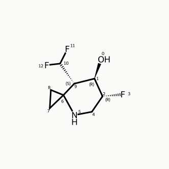 O[C@H]1[C@H](F)CNC2(CC2)[C@@H]1C(F)F